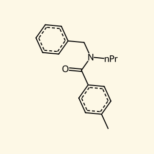 CCCN(Cc1ccccc1)C(=O)c1ccc(C)cc1